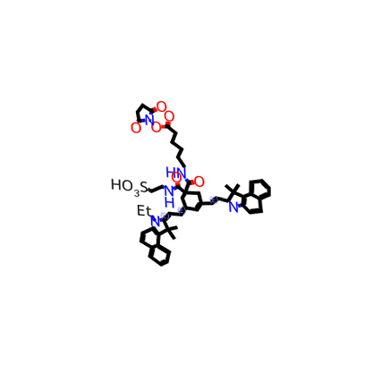 CCN1/C(=C/C=C2C=C(/C=C/C3=Nc4ccc5ccccc5c4C3(C)C)CC(C(=O)NCCCCCC(=O)ON3C(=O)CCC3=O)(C(=O)NCCS(=O)(=O)O)C/2)C(C)(C)c2c1ccc1ccccc21